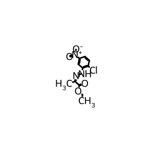 CCOC(=O)C(C)=NNc1cc([N+](=O)[O-])ccc1Cl